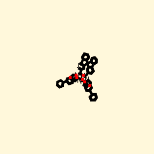 C1=CCCC(c2ccc(-c3nc(-c4ccccc4)nc(-c4ccc5c(c4)C4(c6ccccc6-5)c5ccccc5-c5ccc(-c6nc(-c7ccccc7)nc(-c7ccc(-c8ccccc8)cc7)n6)cc54)n3)cc2)=C1